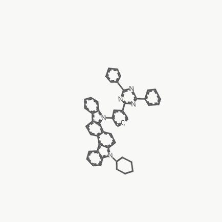 c1ccc(-c2nc(-c3ccccc3)nc(-c3cccc(-n4c5ccccc5c5ccc6c(ccc7c6c6ccccc6n7C6CCCCC6)c54)c3)n2)cc1